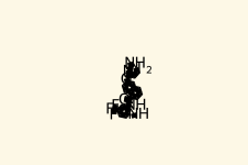 CNc1ccc(C(F)(F)F)cc1NC(=O)c1cccc2cc(Oc3ccnc(N)n3)ccc12